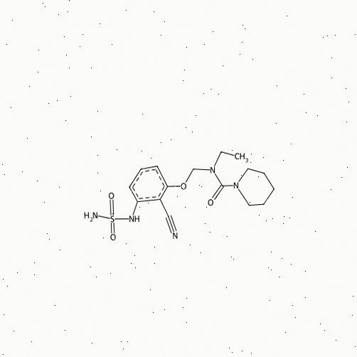 CCN(COc1cccc(NS(N)(=O)=O)c1C#N)C(=O)N1CCCCC1